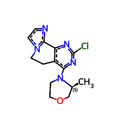 C[C@H]1COCCN1c1nc(Cl)nc2c1CCn1ccnc1-2